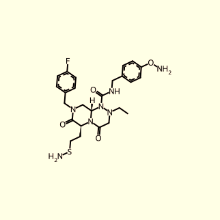 CCN1CC(=O)N2[C@@H](CCSN)C(=O)N(Cc3ccc(F)cc3)C[C@@H]2N1C(=O)NCc1ccc(ON)cc1